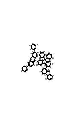 c1ccc(-c2ccc3c(c2)Sc2cc(-c4ccccc4)ccc2N3c2ccc3c(c2)C(c2ccccc2)(c2ccccc2)c2cccc(-c4cccc5c4sc4ccccc45)c2-3)cc1